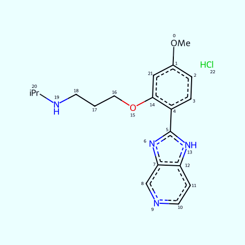 COc1ccc(-c2nc3cnccc3[nH]2)c(OCCCNC(C)C)c1.Cl